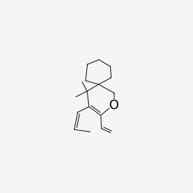 C=CC1=C(/C=C\C)C(C)(C)C2(CCCCC2)CO1